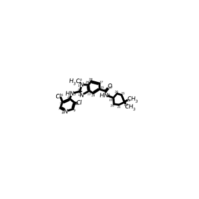 Cn1c(Nc2c(Cl)cncc2Cl)nc2cc(C(=O)NC3CCC(C)(C)CC3)ccc21